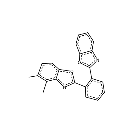 Cc1ccc2oc(-c3ccccc3-c3nc4ccccc4o3)nc2c1C